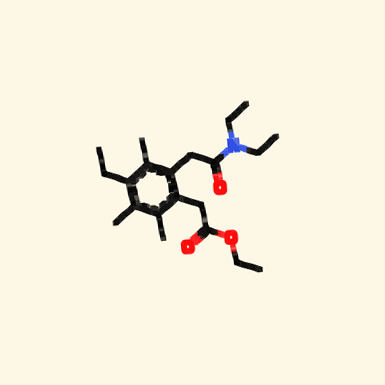 CCOC(=O)Cc1c(C)c(C)c(CC)c(C)c1CC(=O)N(CC)CC